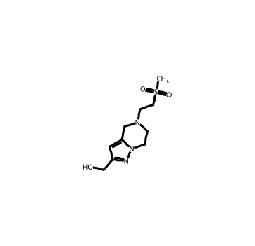 CS(=O)(=O)CCN1CCn2nc(CO)cc2C1